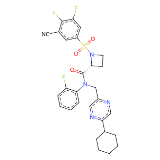 N#Cc1cc(S(=O)(=O)N2CC[C@@H]2C(=O)N(Cc2cnc(C3CCCCC3)cn2)c2ccccc2F)cc(F)c1F